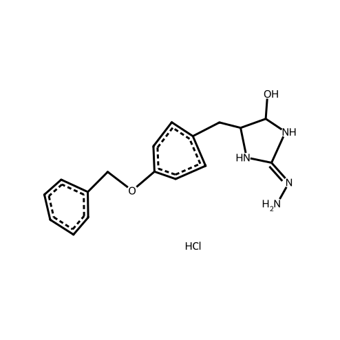 Cl.NN=C1NC(O)C(Cc2ccc(OCc3ccccc3)cc2)N1